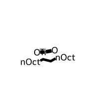 [CH2]CCCCCCCCCCCCCCCCC.[O]=[Ti]=[O]